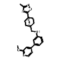 COc1cc(-c2cccc(NCC34CCC(c5nc(C)no5)(CC3)CC4)c2)ccn1